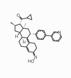 C[C@@H]1C[C@H]2[C@@H]3CCC4=CC(=NO)CCC4=C3[C@@H](c3ccc(-c4cccnc4)cc3)C[C@]2(C)[C@H]1C(=O)C1CC1